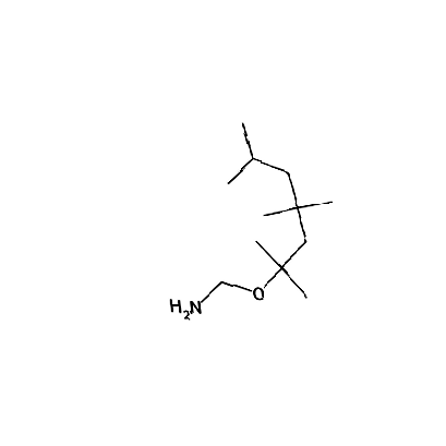 CC(C)CC(C)(C)CC(C)(C)OCN